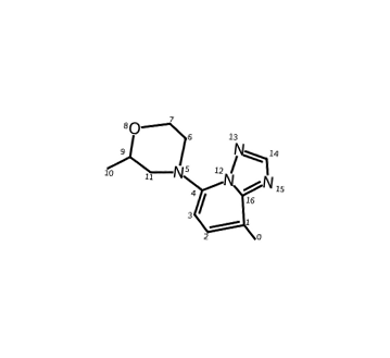 Cc1ccc(N2CCOC(C)C2)n2ncnc12